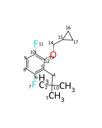 CC(C)(C)Cc1c(F)ccc(F)c1OCC1CC1